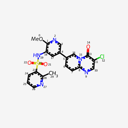 COc1ncc(-c2ccc3ncc(Cl)c(=O)n3c2)cc1NS(=O)(=O)c1cccnc1C